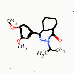 COc1ccc(C2=NN(C(C)C)C(=O)C3CCCCC23)cc1OC